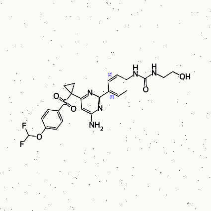 C/C=C(\C=C/CNC(=O)NCCO)c1nc(N)cc(C2(S(=O)(=O)c3ccc(OC(F)F)cc3)CC2)n1